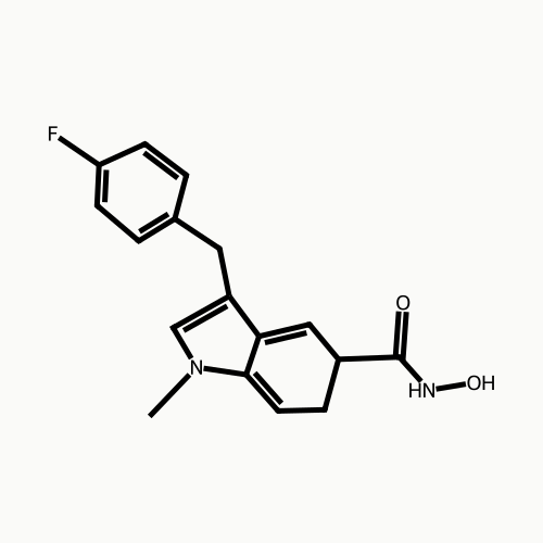 Cn1cc(Cc2ccc(F)cc2)c2c1=CCC(C(=O)NO)C=2